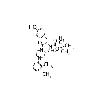 Cc1cccc(N2CCN(C(=O)C(Cc3ccc(O)cc3)N(C)C(=O)OC(C)(C)C)CC2)c1C